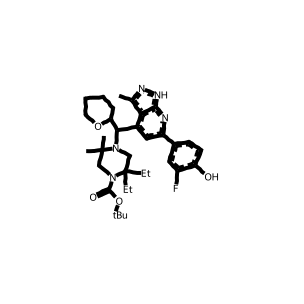 CCC1(CC)CN(C(c2cc(-c3ccc(O)c(F)c3)nc3[nH]nc(C)c23)C2CCCCO2)C(C)(C)CN1C(=O)OC(C)(C)C